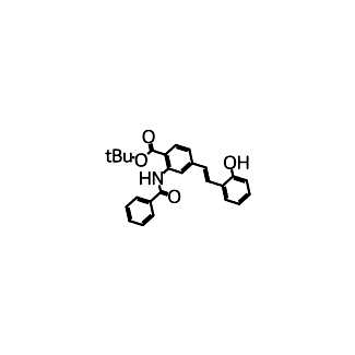 CC(C)(C)OC(=O)c1ccc(C=Cc2ccccc2O)cc1NC(=O)c1ccccc1